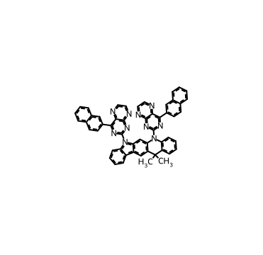 CC1(C)c2ccccc2N(c2nc(-c3ccc4ccccc4c3)c3nccnc3n2)c2cc3c(cc21)c1ccccc1n3-c1nc(-c2ccc3ccccc3c2)c2nccnc2n1